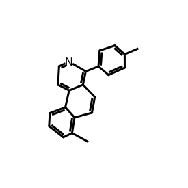 Cc1ccc(-c2nccc3c2ccc2c(C)cccc23)cc1